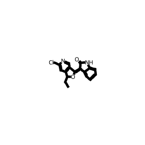 CCC1OC(=C2C(=O)Nc3ccccc32)c2cnc(Cl)cc21